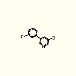 Clc1cc[c]c(-c2cncc(Cl)c2)c1